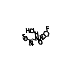 CN(C)[C@@H](CCNC(=O)N1Cc2ccc(F)cc2C1)c1ccsc1.Cl